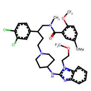 COc1ccc(OC(F)(F)F)c(C(=O)N(C)CC(CCN2CCC(Nc3nc4ccccc4n3CCOC(F)(F)F)CC2)c2ccc(Cl)c(Cl)c2)c1